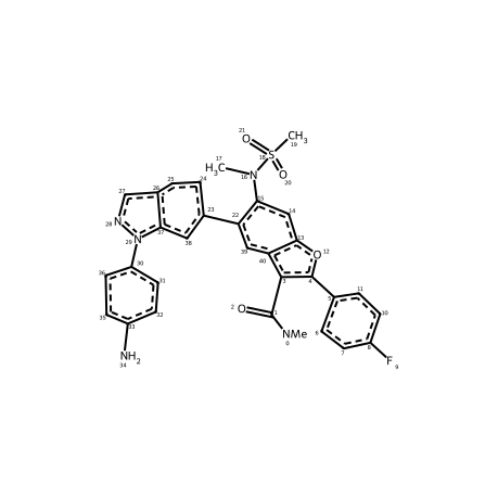 CNC(=O)c1c(-c2ccc(F)cc2)oc2cc(N(C)S(C)(=O)=O)c(-c3ccc4cnn(-c5ccc(N)cc5)c4c3)cc12